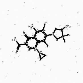 Cc1c(N2CC(N)C(C)(C)C2)c(F)c(N)c2c(=O)c(C(=O)O)cn(C3CC3)c12